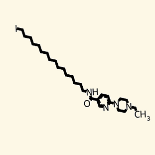 CCN1CCN(c2ccc(C(=O)NCCCCCCCCCCCCCCCCI)cn2)CC1